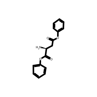 N[C@@H](CC(=O)Oc1ccccc1)C(=O)Oc1ccccc1